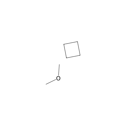 C1CCC1.COC